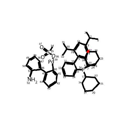 CC(C)c1cc(C(C)C)c(-c2ccccc2P(C2CCCCC2)C2CCCCC2)c(C(C)C)c1.CS(=O)(=O)[O][Pd][c]1ccccc1-c1ccccc1N